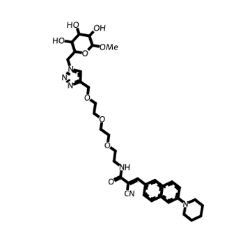 COC1OC(Cn2cc(COCCOCCOCCNC(=O)/C(C#N)=C/c3ccc4cc(N5CCCCC5)ccc4c3)nn2)C(O)C(O)C1O